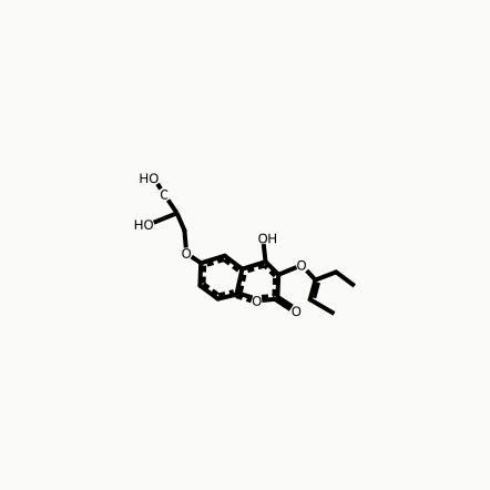 CC=C(CC)Oc1c(O)c2cc(OCC(O)CO)ccc2oc1=O